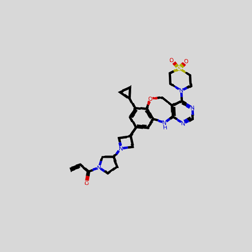 C=CC(=O)N1CCC(N2CC(c3cc4c(c(C5CC5)c3)OCc3c(ncnc3N3CCS(=O)(=O)CC3)N4)C2)C1